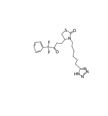 O=C1SCC(CCC(=O)C(F)(F)c2ccccc2)N1CCCCCCc1nnn[nH]1